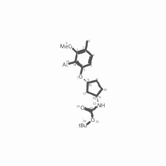 COc1c(C)ccc(O[C@@H]2CC[C@H](NC(=O)OC(C)(C)C)C2)c1C(C)=O